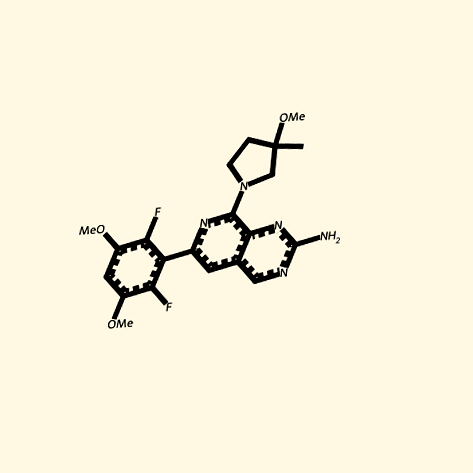 COc1cc(OC)c(F)c(-c2cc3cnc(N)nc3c(N3CCC(C)(OC)C3)n2)c1F